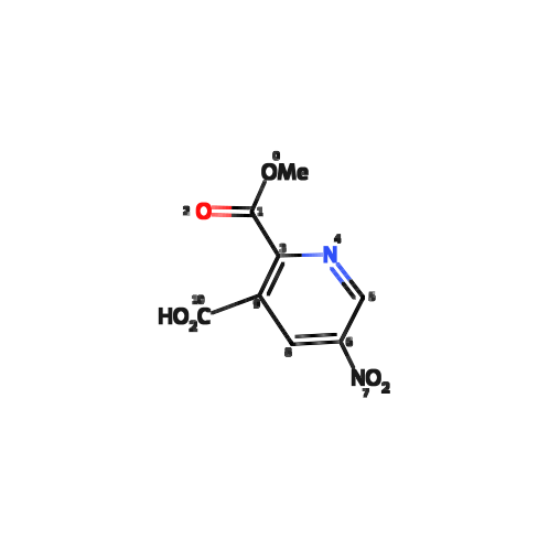 COC(=O)c1ncc([N+](=O)[O-])cc1C(=O)O